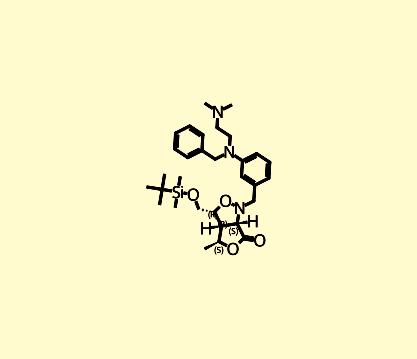 C[C@@H]1OC(=O)[C@@H]2[C@H]1[C@H](CO[Si](C)(C)C(C)(C)C)ON2Cc1cccc(N(CCN(C)C)Cc2ccccc2)c1